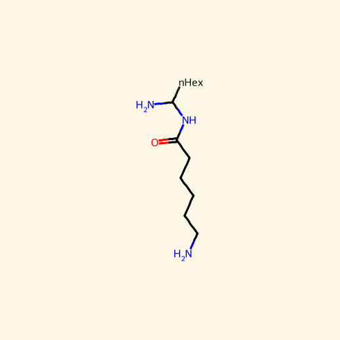 CCCCCCC(N)NC(=O)CCCCCN